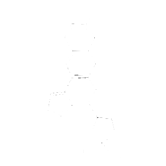 CC1(C)OCC(CCc2cc3cc(C(F)(F)F)ccc3nc2-c2ccsc2)O1